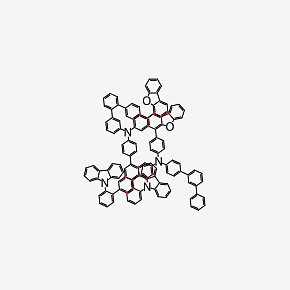 c1ccc(-c2cccc(-c3ccc(N(c4ccc(-c5ccc(-c6ccccc6-n6c7ccccc7c7ccccc76)cc5)cc4)c4ccc(-c5cc(-c6ccc(-c7ccccc7-c7cccc(N(c8ccc(-c9ccc(-c%10ccccc%10-n%10c%11ccccc%11c%11ccccc%11%10)cc9)cc8)c8ccc(-c9cccc%10c9oc9ccccc9%10)cc8)c7)cc6)cc6c5oc5ccccc56)cc4)cc3)c2)cc1